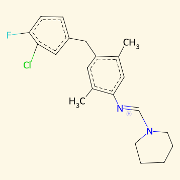 Cc1cc(/N=C/N2CCCCC2)c(C)cc1Cc1ccc(F)c(Cl)c1